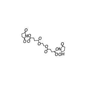 O=C(CCC(=O)ON1C(=O)CCC1=O)OCCOC(=O)CCC(=O)ON1C(=O)CCC1O